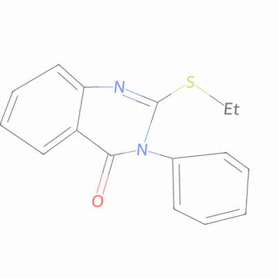 CCSc1nc2ccccc2c(=O)n1-c1ccccc1